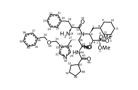 COP(=O)(OC)C(O)[C@H](CC1CCCCC1)N(C(=O)[C@@H](N)Cc1ccccc1)[C@@H](Cc1cncn1COCc1ccccc1)C(=O)NC(=O)C1CCCC1